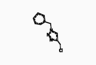 ClCc1cn(Cc2ccccc2)nn1